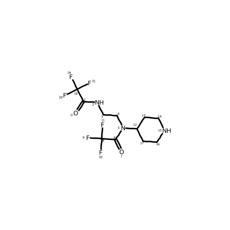 O=C(NCCN(C(=O)C(F)(F)F)C1CCNCC1)C(F)(F)F